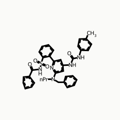 CCCN(Cc1ccccc1)c1cc(NC(=O)Nc2ccc(C)cc2)cc(-c2ccccc2S(=O)(=O)NC(=O)c2ccccc2)n1